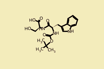 CC(C)(C)OC(=O)N[C@@H](Cc1c[nH]c2ccccc12)C(=O)N[C@@H](CO)C(=O)O